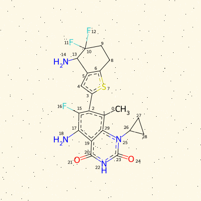 Cc1c(-c2cc3c(s2)CCC(F)(F)C3N)c(F)c(N)c2c(=O)[nH]c(=O)n(C3CC3)c12